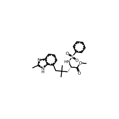 COC(=O)[C@H](CC(C)(C)Cc1cccc2nc(C)[nH]c12)NS(=O)(=O)c1ccccc1